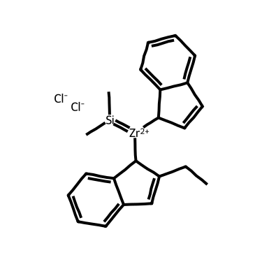 CCC1=Cc2ccccc2[CH]1[Zr+2]([CH]1C=Cc2ccccc21)=[Si](C)C.[Cl-].[Cl-]